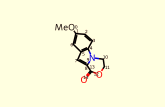 COc1ccc2c(c1)cc1n2CCOC1=O